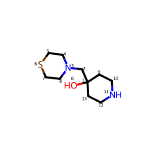 OC1(CN2CCSCC2)CCNCC1